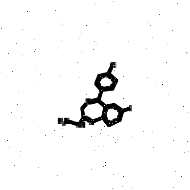 NNC1=Nc2ccc(I)cc2C(c2ccc(Cl)cc2)=NC1